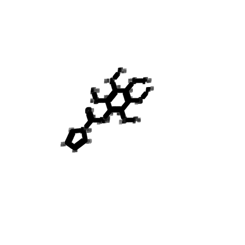 O=C(Nc1c(SF)c(SF)c(SF)c(SF)c1SF)n1cccc1